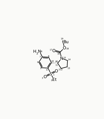 CCS(=O)(=O)c1ccc(N)cc1[C@H]1CCCN1C(=O)OC(C)(C)C